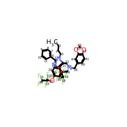 CCCCn1c(-c2ccccc2)nc(C(F)(F)C(F)(F)F)c1CN(Cc1cccc(OC(F)(F)C(F)F)c1)Cc1ccc2c(c1)OCO2